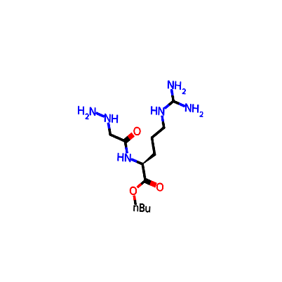 CCCCOC(=O)[C@H](CCCNC(N)N)NC(=O)CNN